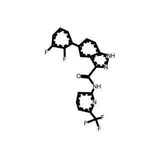 O=C(Nc1cccc(C(F)(F)F)n1)c1n[nH]c2ccc(-c3cccc(F)c3F)cc12